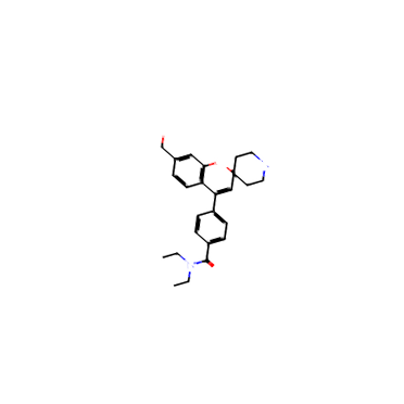 CCN(CC)C(=O)c1ccc(C2=CC3(CCNCC3)Oc3cc(CO)ccc32)cc1